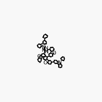 c1ccc(-c2ccc3c(c2)c2ccccc2n3-c2nc(-c3ccc4c(c3)oc3ccccc34)nc(-c3cccc4oc5ccc(-c6cccc7oc8ccc(-c9ccc%10c(c9)c9ccccc9n%10-c9ccccc9)cc8c67)cc5c34)n2)cc1